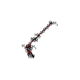 Cc1cc(OCCCC(=O)NCCNC(=O)CCCC(=O)NCCCOCCOCCOCCOCCOCCOC(N)=O)cc(C)c1S(=O)(=O)N[C@@H](CNC(=O)c1cn(C)c2cc(CNc3ncc[nH]3)ccc2c1=O)C(=O)O